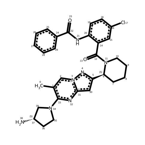 Cc1cn2nc([C@@H]3CCCCN3C(=O)c3cc(Cl)ccc3NC(=O)c3ccccc3)cc2nc1N1CC[C@H](N)C1